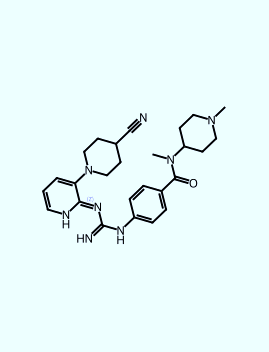 CN1CCC(N(C)C(=O)c2ccc(NC(=N)/N=c3\[nH]cccc3N3CCC(C#N)CC3)cc2)CC1